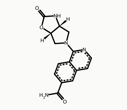 NC(=O)c1ccc2c(N3C[C@@H]4OC(=O)N[C@@H]4C3)nccc2c1